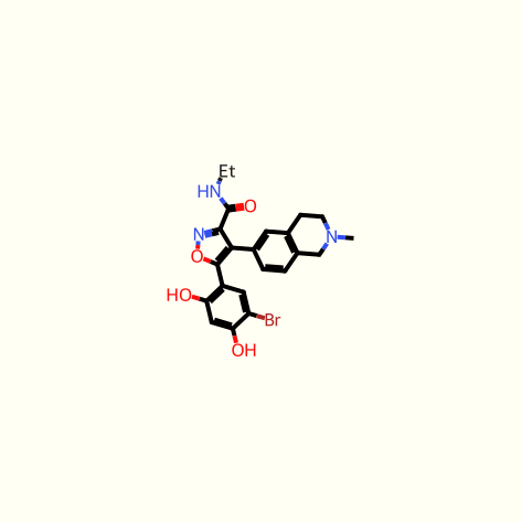 CCNC(=O)c1noc(-c2cc(Br)c(O)cc2O)c1-c1ccc2c(c1)CCN(C)C2